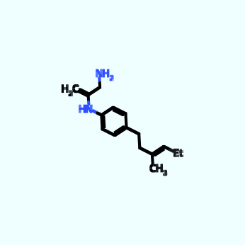 C=C(CN)Nc1ccc(CCC(C)=CCC)cc1